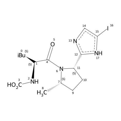 CC[C@H](C)[C@H](NC(=O)O)C(=O)N1[C@@H](C)CC[C@H]1c1ncc(I)[nH]1